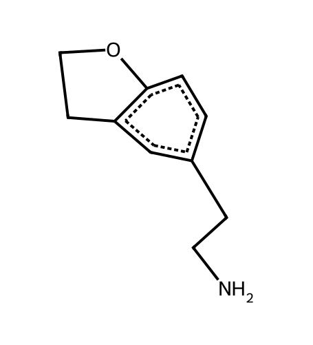 NCCc1ccc2c(c1)CCO2